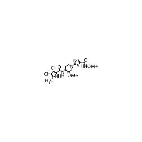 CONC(=O)c1cnc(N2CC[C@@H](NC(=O)c3[nH]c(C)c(Cl)c3Cl)[C@@H](OC)C2)s1